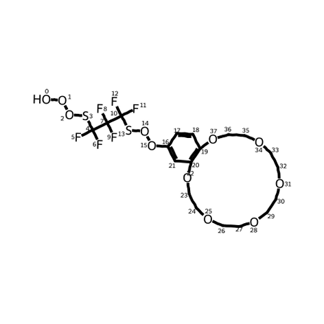 OOOSC(F)(F)C(F)(F)C(F)(F)SOOc1ccc2c(c1)OCCOCCOCCOCCOCCO2